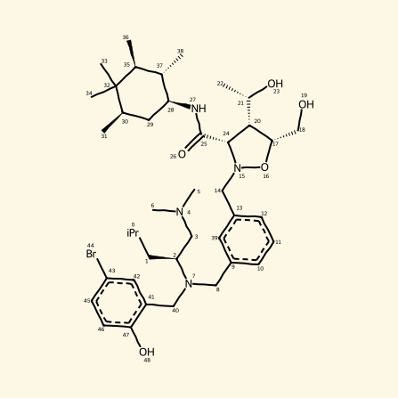 CC(C)C[C@@H](CN(C)C)N(Cc1cccc(CN2O[C@@H](CO)[C@@H]([C@H](C)O)[C@H]2C(=O)N[C@H]2C[C@@H](C)C(C)(C)[C@@H](C)[C@@H]2C)c1)Cc1cc(Br)ccc1O